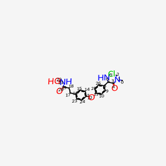 CN(C)C(=O)C(NCl)c1ccc(Oc2ccc(CCC(=O)NO)cc2)cc1